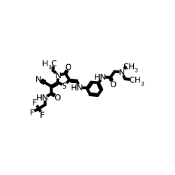 CCN(C)CC(=O)Nc1cccc(NC=c2sc(=C(C#N)C(=O)NCC(F)(F)F)n(CC)c2=O)c1